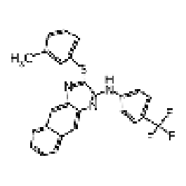 Cc1cccc(Sc2nc3cc4ccccc4cc3nc2Nc2ccc(C(F)(F)F)cc2)c1